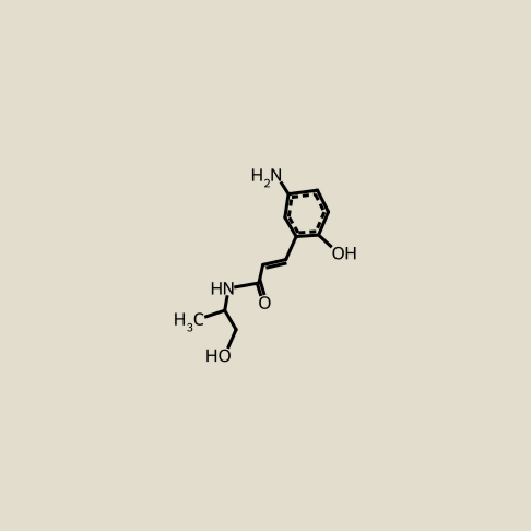 CC(CO)NC(=O)C=Cc1cc(N)ccc1O